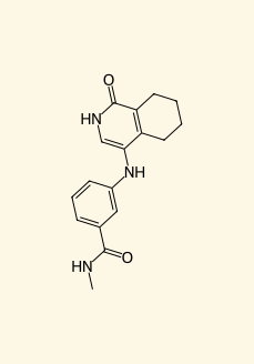 CNC(=O)c1cccc(Nc2c[nH]c(=O)c3c2CCCC3)c1